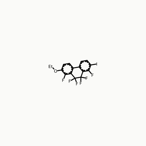 CCOc1ccc2c(c1F)C(F)(F)C(F)(F)c1c-2ccc(I)c1F